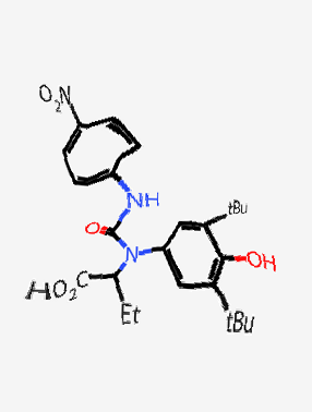 CCC(C(=O)O)N(C(=O)Nc1ccc([N+](=O)[O-])cc1)c1cc(C(C)(C)C)c(O)c(C(C)(C)C)c1